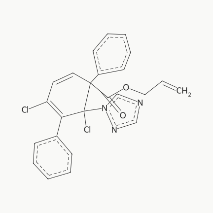 C=CCOC(=O)C1(c2ccccc2)C=CC(Cl)=C(c2ccccc2)C1(Cl)n1cncn1